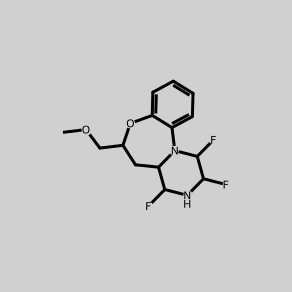 COCC1CC2C(F)NC(F)C(F)N2c2ccccc2O1